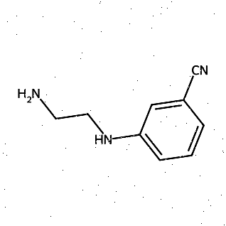 N#Cc1cccc(NCCN)c1